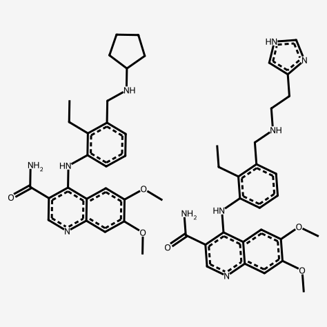 CCc1c(CNC2CCCC2)cccc1Nc1c(C(N)=O)cnc2cc(OC)c(OC)cc12.CCc1c(CNCCc2c[nH]cn2)cccc1Nc1c(C(N)=O)cnc2cc(OC)c(OC)cc12